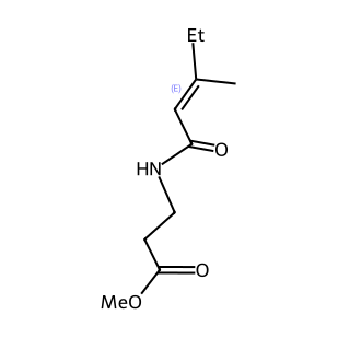 CC/C(C)=C/C(=O)NCCC(=O)OC